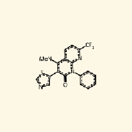 CNc1c(-c2cncs2)c(=O)n(-c2ccccc2)c2nc(C(F)(F)F)ccc12